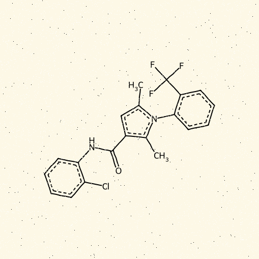 Cc1cc(C(=O)Nc2ccccc2Cl)c(C)n1-c1ccccc1C(F)(F)F